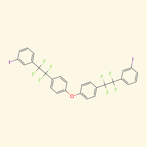 FC(F)(c1ccc(Oc2ccc(C(F)(F)C(F)(F)c3cccc(I)c3)cc2)cc1)C(F)(F)c1cccc(I)c1